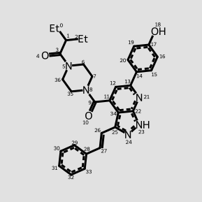 CCC(CC)C(=O)N1CCN(C(=O)c2cc(-c3ccc(O)cc3)nc3[nH]nc(C=Cc4ccccc4)c23)CC1